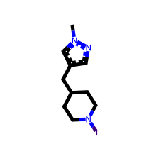 Cn1cc(CC2CCN(I)CC2)cn1